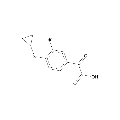 O=C(O)C(=O)c1ccc(SC2CC2)c(Br)c1